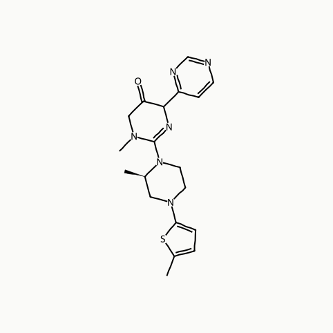 Cc1ccc(N2CCN(C3=NC(c4ccncn4)C(=O)CN3C)[C@H](C)C2)s1